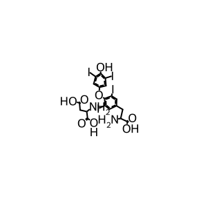 NC(CC(=O)O)C(=O)O.NC(Cc1cc(I)c(Oc2cc(I)c(O)c(I)c2)c(I)c1)C(=O)O